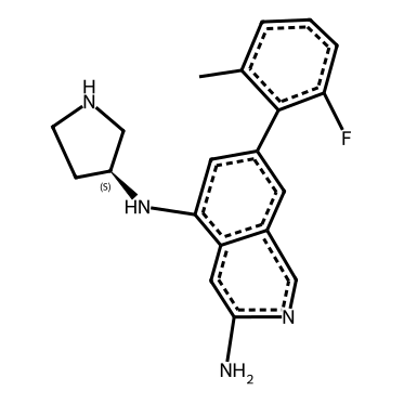 Cc1cccc(F)c1-c1cc(N[C@H]2CCNC2)c2cc(N)ncc2c1